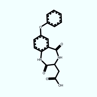 O=C(O)CC1NC(=O)c2cc(Oc3ccccc3)ccc2NC1=O